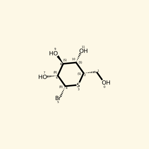 OC[C@@H]1S[C@H](Br)[C@H](O)[C@@H](O)[C@@H]1O